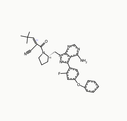 CC(C)(C)/C=C(\C#N)C(=O)N1CCC[C@H]1Cn1nc(-c2ccc(Oc3ccccc3)cc2F)c2c(N)ncnc21